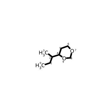 CCC(C)C1CCOCO1